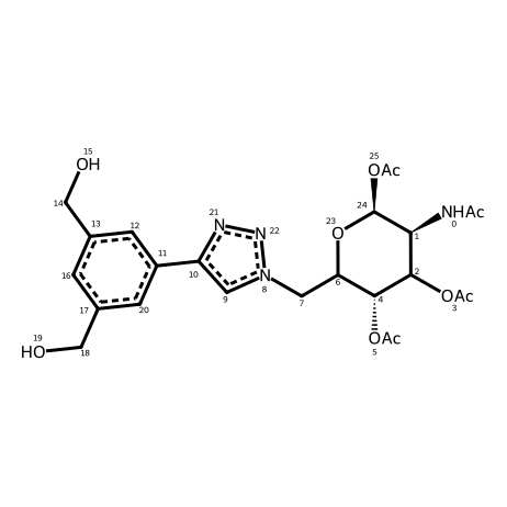 CC(=O)N[C@H]1C(OC(C)=O)[C@H](OC(C)=O)C(Cn2cc(-c3cc(CO)cc(CO)c3)nn2)O[C@H]1OC(C)=O